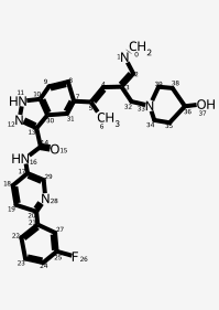 C=N/C=C(\C=C(/C)c1ccc2[nH]nc(C(=O)Nc3ccc(-c4cccc(F)c4)nc3)c2c1)CN1CCC(O)CC1